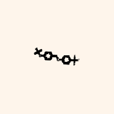 CC(C)(C)Oc1ccc(COc2ccc(C(F)(F)F)cc2)cc1